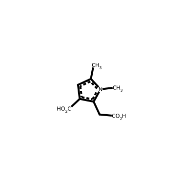 Cc1cc(C(=O)O)c(CC(=O)O)n1C